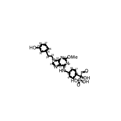 COc1nc(Nc2ccc(C(O)(P=O)P(=O)(O)O)cc2)c2ncn(CCc3cccc(O)c3)c2n1